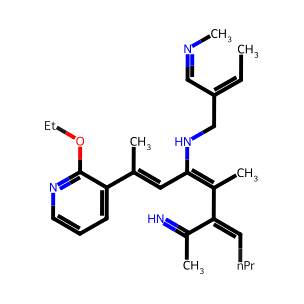 C/C=C(\C=N/C)CNC(/C=C(\C)c1cccnc1OCC)=C(C)/C(=C/CCC)C(C)=N